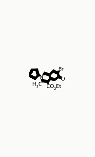 CCOC(=O)c1c2cc(=O)c(Br)cc-2cn(-c2ccccc2)c1C